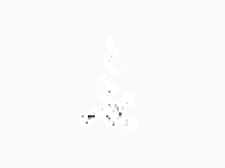 CCSCCOCn1c(C#N)nc(Cl)c1Cl